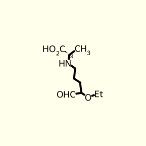 CCOC(C=O)CCCN[C@@H](C)C(=O)O